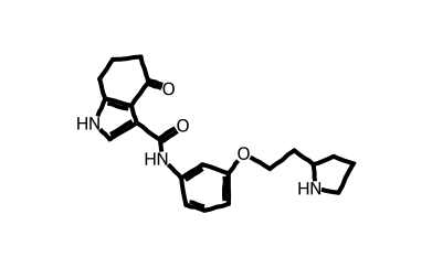 O=C(Nc1cccc(OCCC2CCCN2)c1)c1c[nH]c2c1C(=O)CCC2